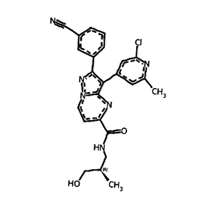 Cc1cc(-c2c(-c3cccc(C#N)c3)nn3ccc(C(=O)NC[C@@H](C)CO)nc23)cc(Cl)n1